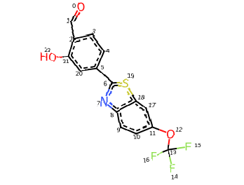 O=Cc1ccc(-c2nc3ccc(OC(F)(F)F)cc3s2)cc1O